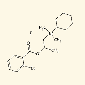 CCc1ccccc1C(=O)OC(C)C[N+](C)(C)C1CCCCC1.[I-]